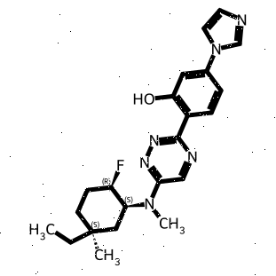 CC[C@@]1(C)CC[C@@H](F)[C@@H](N(C)c2cnc(-c3ccc(-n4ccnc4)cc3O)nn2)C1